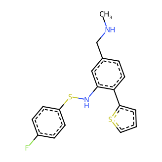 CNCc1ccc(-c2cccs2)c(NSc2ccc(F)cc2)c1